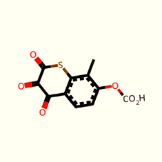 Cc1c(OC(=O)O)ccc2c1SC(=O)C(=O)C2=O